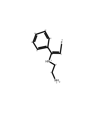 NCCN/C(=[C]/F)c1ccccc1